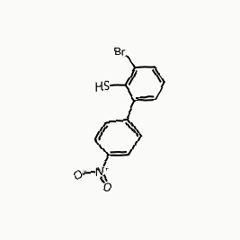 O=[N+]([O-])c1ccc(-c2cccc(Br)c2S)cc1